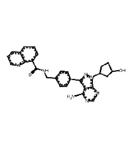 Nc1ncnc2c1c(-c1ccc(CNC(=O)c3cccc4cccnc34)cc1)nn2C1CCC(O)C1